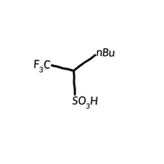 CCCCC(C(F)(F)F)S(=O)(=O)O